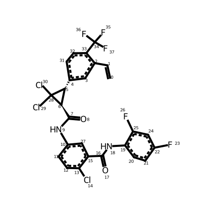 C=Cc1cc([C@@H]2[C@@H](C(=O)Nc3ccc(Cl)c(C(=O)Nc4ccc(F)cc4F)c3)C2(Cl)Cl)ccc1C(F)(F)F